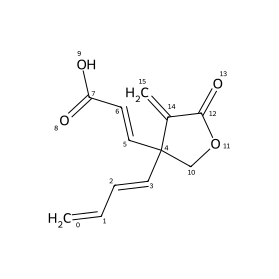 C=CC=CC1(C=CC(=O)O)COC(=O)C1=C